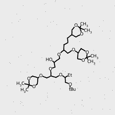 CCC(COC(C)(C)C)OCC(COC1COC(C)(C)OC1)OCC(O)COC(CCCC1COC(C)(C)OC1)COC1COC(C)(C)OC1